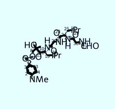 CNc1ccc(S(=O)OCC(C)(O)C(=O)[C@H](CC(C)C)NC(=O)CNC(=O)[C@H](CC(C)C)NC(=O)CNC=O)cc1